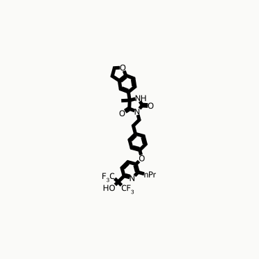 CCCc1nc(C(O)(C(F)(F)F)C(F)(F)F)ccc1Oc1ccc(CCN2C(=O)NC(C)(c3ccc4c(c3)CCO4)C2=O)cc1